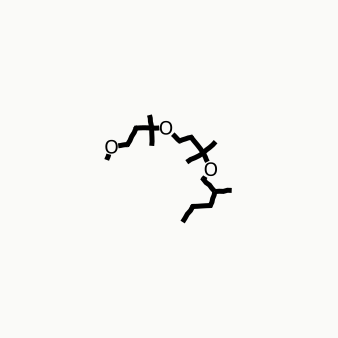 CCCC(C)COC(C)(C)CCOC(C)(C)CCOC